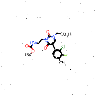 Cc1ccc(-c2cn(CC(=O)O)c(=O)n(CCNC(=O)OC(C)(C)C)c2=O)c(Cl)c1F